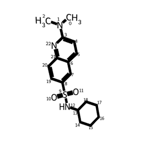 CN(C)c1ccc2cc(S(=O)(=O)NC3CCCCC3)ccc2n1